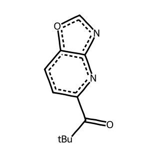 CC(C)(C)C(=O)c1ccc2ocnc2n1